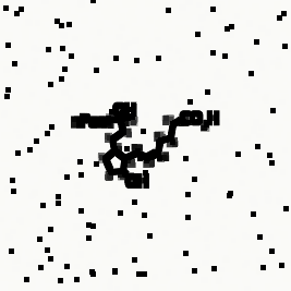 CCCCCC(C)(O)CCC1CCC(O)C1C/C=C\CCCC(=O)O